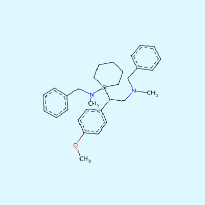 COc1ccc(C(CN(C)Cc2ccccc2)[Si]2(N(C)Cc3ccccc3)CCCCC2)cc1